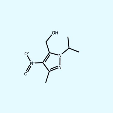 Cc1nn(C(C)C)c(CO)c1[N+](=O)[O-]